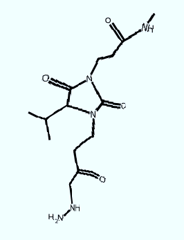 CNC(=O)CCN1C(=O)C(C(C)C)N(CCC(=O)CNN)C1=O